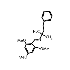 COc1cc(OC)c(C=NC(C)(C)CCc2ccccc2)c(OC)c1